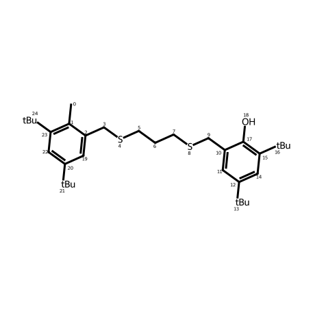 Cc1c(CSCCCSCc2cc(C(C)(C)C)cc(C(C)(C)C)c2O)cc(C(C)(C)C)cc1C(C)(C)C